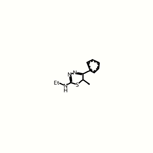 CCNC1=NN=C(c2ccccc2)C(C)S1